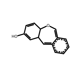 OC1=CC2C=c3ccccc3=COC2C=C1